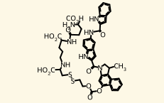 CC1CN(C(=O)c2cc3cc(NC(=O)c4cc5ccccc5[nH]4)ccc3[nH]2)c2cc(OC(=O)OCCSSCC(NCCCC(NC(=O)CCC(N)C(=O)O)C(=O)O)C(=O)O)c3ccccc3c21